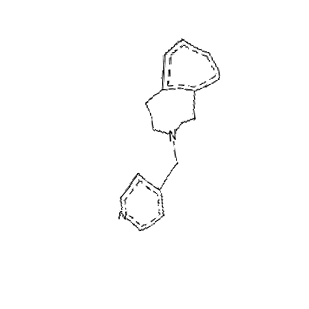 c1ccc2c(c1)CCN(Cc1ccncc1)C2